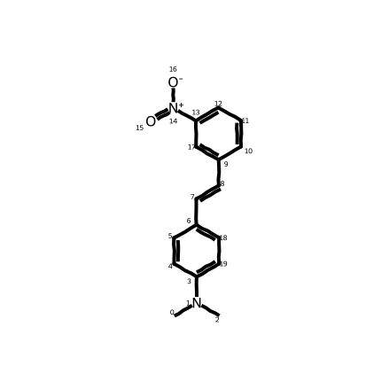 CN(C)c1ccc(C=Cc2cccc([N+](=O)[O-])c2)cc1